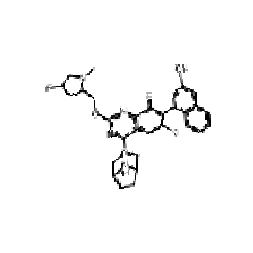 CN1CC(F)CC1COc1nc(N2CC3CCC(C2)N3)c2cc(Cl)c(-c3cc(O)cc4ccccc34)c(F)c2n1